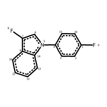 Fc1ccc(-n2cc(F)c3c[c]ccc32)cc1